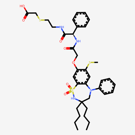 CCCCC1(CCCC)CN(c2ccccc2)c2cc(SC)c(OCC(=O)N[C@@H](C(=O)NCCSCC(=O)O)c3ccccc3)cc2S(=O)(=O)N1